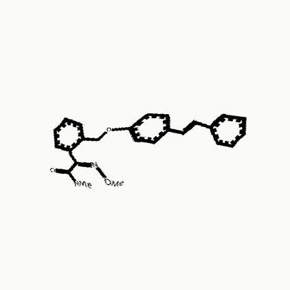 CNC(=O)/C(=N\OC)c1ccccc1COc1ccc(/C=C/c2ccccc2)cc1